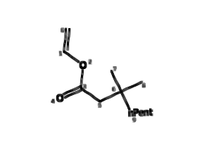 C=COC(=O)CC(C)(C)CCCCC